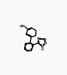 CCCCC1=CCCC(c2ccccc2-c2nnn[nH]2)=C1